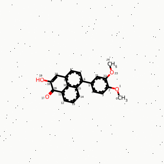 COc1ccc(-c2ccc3c4c(cccc24)C(=O)C(O)=C3)cc1OC